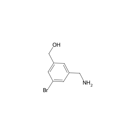 NCc1cc(Br)cc(CO)c1